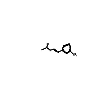 CC(Cl)SC=Nc1cccc(C(F)(F)F)c1